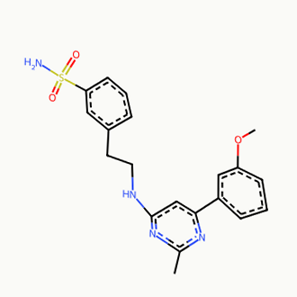 COc1cccc(-c2cc(NCCc3cccc(S(N)(=O)=O)c3)nc(C)n2)c1